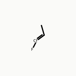 C[CH]=[Cf][F]